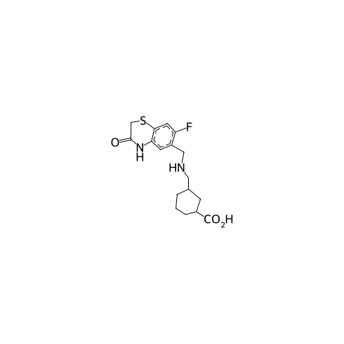 O=C1CSc2cc(F)c(CNCC3CCCC(C(=O)O)C3)cc2N1